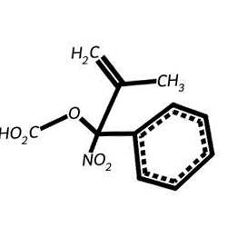 C=C(C)C(OC(=O)O)(c1ccccc1)[N+](=O)[O-]